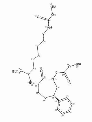 CCOC(=O)C(CCCCCCNC(=O)OC(C)(C)C)N[C@H]1CS[C@H](c2ccccc2)CN(CC(=O)OC(C)(C)C)C1=O